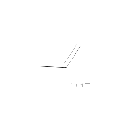 C=CC.[GaH3]